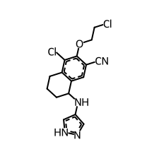 N#Cc1cc2c(c(Cl)c1OCCCl)CCCC2Nc1cn[nH]c1